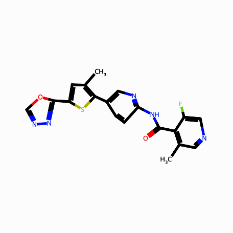 Cc1cc(-c2nnco2)sc1-c1ccc(NC(=O)c2c(C)cncc2F)nc1